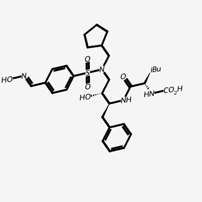 CC[C@H](C)[C@H](NC(=O)O)C(=O)N[C@@H](Cc1ccccc1)[C@H](O)CN(CC1CCCC1)S(=O)(=O)c1ccc(C=NO)cc1